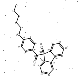 CCCCCOc1ccc(C(=O)P2(=O)c3ccccc3-c3ccccc32)cc1